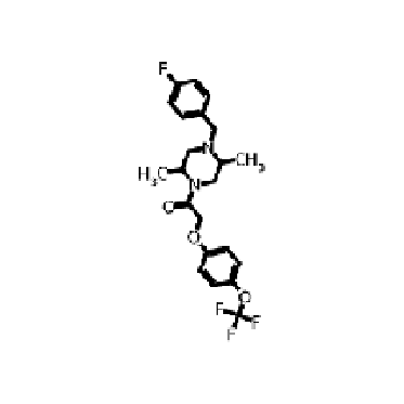 CC1CN(C(=O)COc2ccc(OC(F)(F)F)cc2)C(C)CN1Cc1ccc(F)cc1